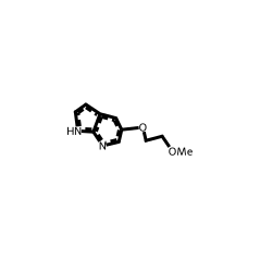 COCCOc1cnc2[nH]ccc2c1